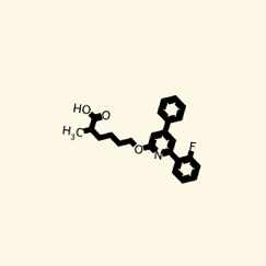 CC(CCCCOc1cc(-c2ccccc2)cc(-c2ccccc2F)n1)C(=O)O